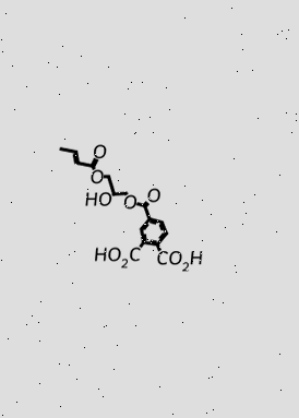 CC=CC(=O)OCC(O)COC(=O)c1ccc(C(=O)O)c(C(=O)O)c1